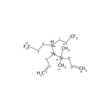 C=CCN([SiH](CCC(F)(F)F)CCC(F)(F)F)[Si](C)(C)CC=C